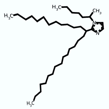 CCCCCCCCCCCCCCCC(CCCCCCCCCCCC)c1nccn1C(C)CCCCC